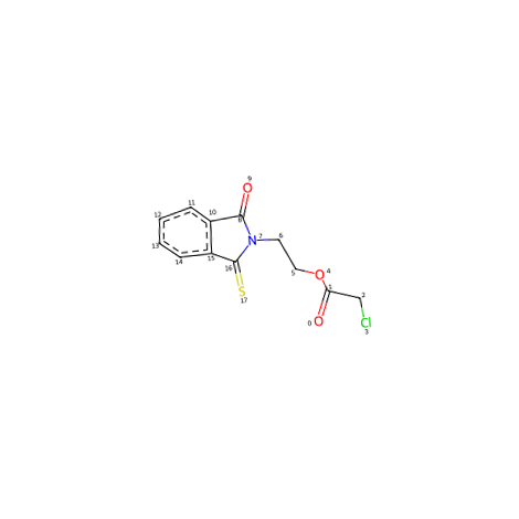 O=C(CCl)OCCN1C(=O)c2ccccc2C1=S